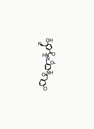 COc1cc(NC(=O)Cc2cccc(Cl)c2)ccc1/C=N/NC(=O)c1ccc(O)c(C#N)c1